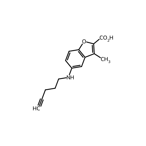 C#CCCCNc1ccc2oc(C(=O)O)c(C)c2c1